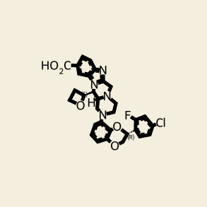 O=C(O)c1ccc2nc3n(c2c1)C([C@@H]1CCO1)[C@H]1CN(c2cccc4c2O[C@H](c2ccc(Cl)cc2F)CO4)CCN1C3